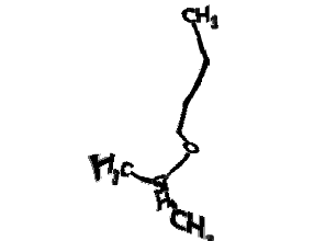 CCCO[SiH](C)C